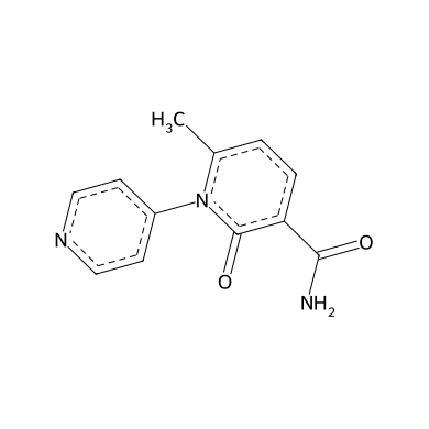 Cc1ccc(C(N)=O)c(=O)n1-c1ccncc1